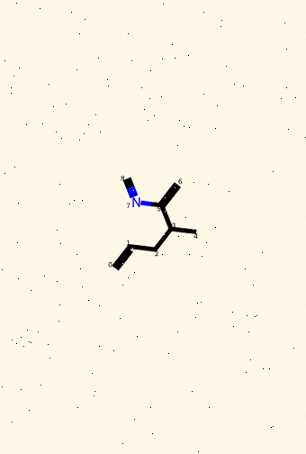 C=CCC(C)C(=C)N=C